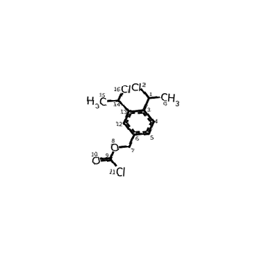 CC(Cl)c1ccc(COC(=O)Cl)cc1C(C)Cl